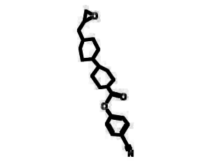 N#Cc1ccc(OC(=O)C2CCC(C3CCC(CC4CO4)CC3)CC2)cc1